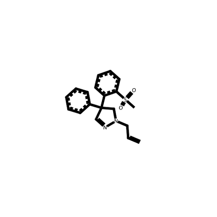 C=CCN1CC(c2ccccc2)(c2ccccc2S(C)(=O)=O)C=N1